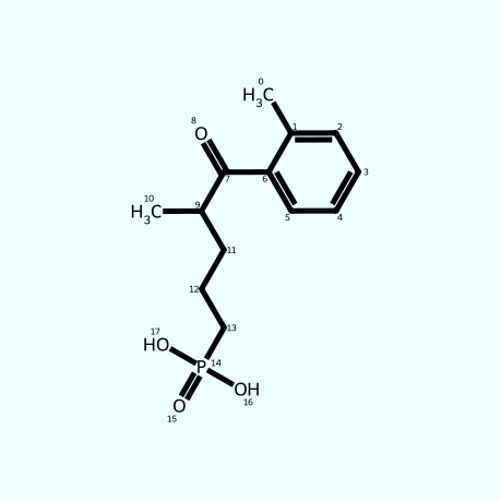 Cc1ccccc1C(=O)C(C)CCCP(=O)(O)O